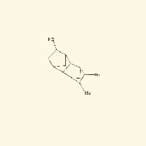 CC(C)(C)C1C2CC(C3C4CC(CC4O)C23)C1C(C)(C)C